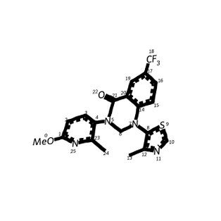 COc1ccc(N2CN(c3scnc3C)c3ccc(C(F)(F)F)cc3C2=O)c(C)n1